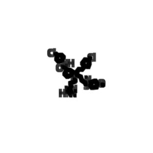 COc1ccc2sc(CCc3c(CCc4ccc(Cl)cc4)c4cc(C(=O)Nc5ccc(Cl)cc5)ccc4n3CCc3nn[nH]n3)nc2c1